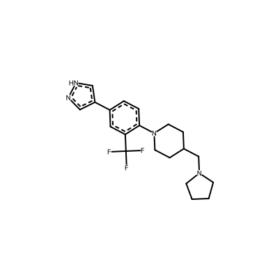 FC(F)(F)c1cc(-c2cn[nH]c2)ccc1N1CCC(CN2CCCC2)CC1